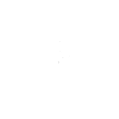 C1CO1.[O]=[V](=[O])[OH]